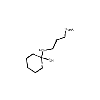 CCCCCCCCCCNC1(O)CCCCC1